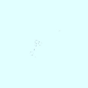 CCCCCCCCCCCCCCCCCCOc1cccc2c(NC(=O)C(C)Nc3cccc(O)c3)cccc12